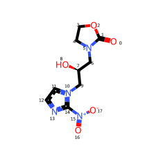 O=C1OCCN1C[C@H](O)Cn1ccnc1[N+](=O)[O-]